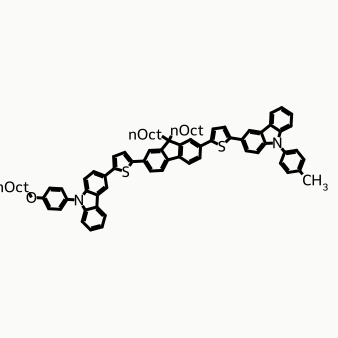 CCCCCCCCOc1ccc(-n2c3ccccc3c3cc(-c4ccc(-c5ccc6c(c5)C(CCCCCCCC)(CCCCCCCC)c5cc(-c7ccc(-c8ccc9c(c8)c8ccccc8n9-c8ccc(C)cc8)s7)ccc5-6)s4)ccc32)cc1